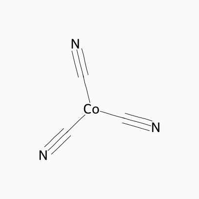 N#[C][Co]([C]#N)[C]#N